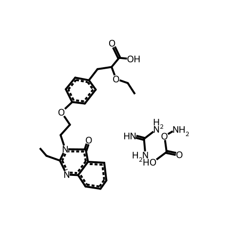 CCOC(Cc1ccc(OCCn2c(CC)nc3ccccc3c2=O)cc1)C(=O)O.N=C(N)N.NOC(=O)O